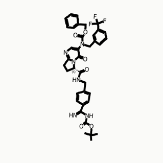 CC(C)(C)OC(=O)NC(=N)c1ccc(CNC(=O)[C@@H]2CCc3ncc(N(Cc4cccc(C(F)(F)F)c4)C(=O)OCc4ccccc4)c(=O)n32)cc1